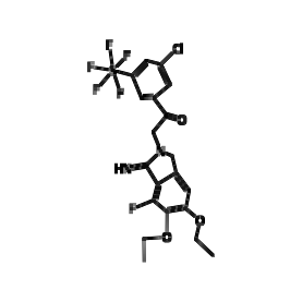 CCOc1cc2c(c(F)c1OCC)C(=N)N(CC(=O)c1cc(Cl)cc(S(F)(F)(F)(F)F)c1)C2